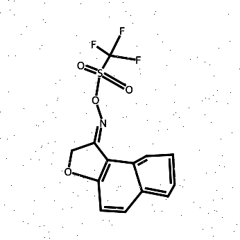 O=S(=O)(ON=C1COc2ccc3ccccc3c21)C(F)(F)F